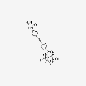 COC(C)(C(F)F)[C@H](NC(=O)c1ccc(C#Cc2ccc(NC(N)=O)cc2)cc1)C(=O)NO